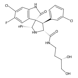 CCC[C@H]1N[C@@H](C(=O)NCC[C@H](O)CO)[C@H](c2cccc(Cl)c2)[C@@]12C(=O)Nc1cc(Cl)c(F)cc12